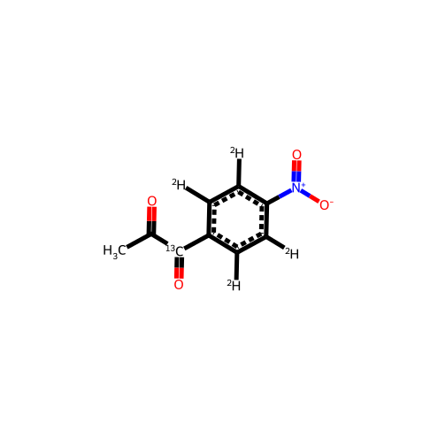 [2H]c1c([2H])c([N+](=O)[O-])c([2H])c([2H])c1[13C](=O)C(C)=O